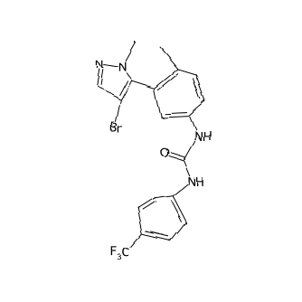 Cc1ccc(NC(=O)Nc2ccc(C(F)(F)F)cc2)cc1-c1c(Br)cnn1C